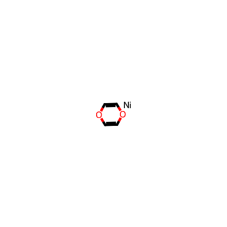 C1=COC=CO1.[Ni]